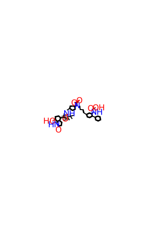 CC(C)(C)[Si](C)(C)O[C@@H](CNCc1ccc2c(c1)oc(=O)n2CCC=Cc1ccc(-c2ccccc2)c(NC(=O)O)c1)c1ccc(O)c2[nH]c(=O)ccc12